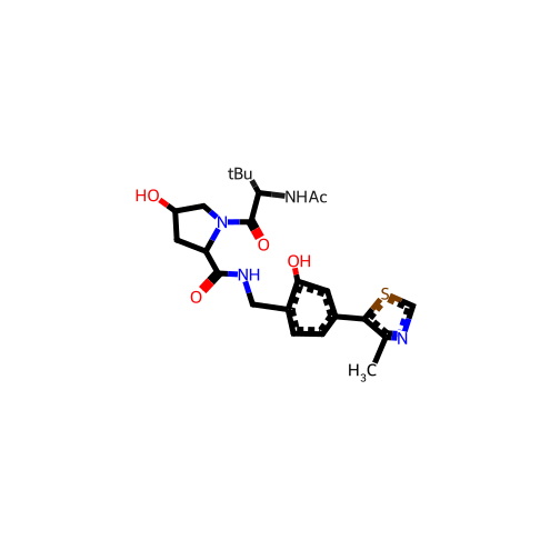 CC(=O)NC(C(=O)N1CC(O)CC1C(=O)NCc1ccc(-c2scnc2C)cc1O)C(C)(C)C